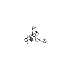 CC(C)c1cccc(C(C)C)c1NC(=O)Nc1c(-c2cccc(OCc3ccccn3)c2)c2cccnc2n(CCCO)c1=O